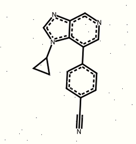 N#Cc1ccc(-c2cncc3ncn(C4CC4)c23)cc1